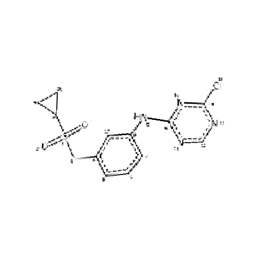 O=S(=O)(Cc1cccc(Nc2ncnc(Cl)n2)c1)C1CC1